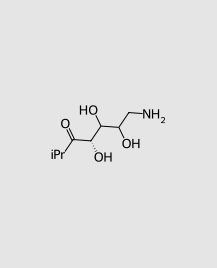 CC(C)C(=O)[C@@H](O)C(O)C(O)CN